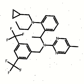 CCCN(CC1CC1)c1ccccc1C(C)N(Cc1cc(C(F)(F)F)cc(C(F)(F)F)c1)c1ncc(C)cn1